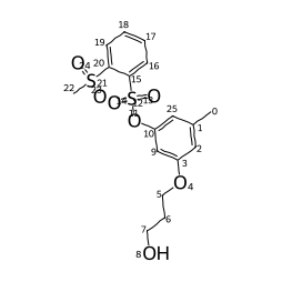 Cc1cc(OCCCO)cc(OS(=O)(=O)c2ccccc2S(C)(=O)=O)c1